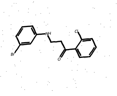 O=C(CCNc1cccc(Br)c1)c1ccccc1Cl